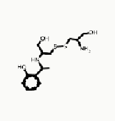 CC(NC(CO)CSSCC(N)CO)c1ccccc1O